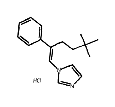 CC(C)(C)CC/C(=C\n1ccnc1)c1ccccc1.Cl